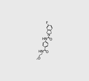 COCCNC(=O)c1ccc(NC(=O)N2Cc3ccc(F)cc3C2)cc1